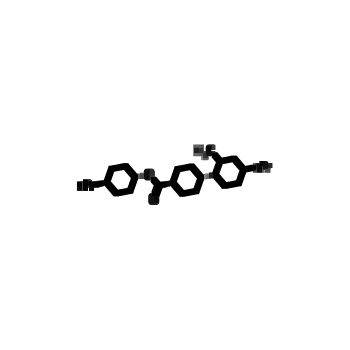 CCCC1CCC([C@H]2CC[C@H](C(=O)O[C@H]3CC[C@H](CCC)CC3)CC2)C(C)C1